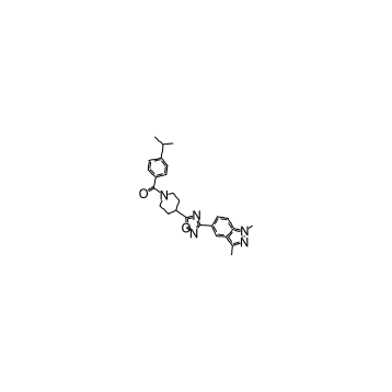 Cc1nn(C)c2ccc(-c3noc(C4CCN(C(=O)c5ccc(C(C)C)cc5)CC4)n3)cc12